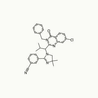 CC(C)C(c1nc2cc(Cl)ccc2c(=O)n1Cc1ccccc1)N1CC(C)(C)N=C1c1cccc(C#N)c1